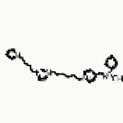 CN(/N=C/c1cc[n+](CCCCCCn2cc[n+](CCCCn3cccc3)c2)cc1)c1ccccc1